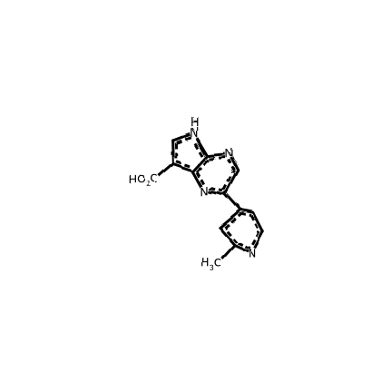 Cc1cc(-c2cnc3[nH]cc(C(=O)O)c3n2)ccn1